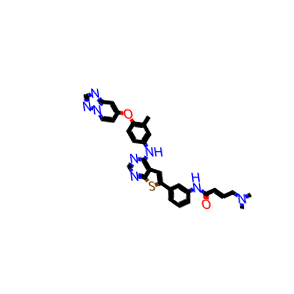 Cc1cc(Nc2ncnc3sc(-c4cccc(NC(=O)/C=C/CN(C)C)c4)cc23)ccc1Oc1ccn2ncnc2c1